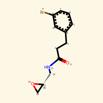 O=C(CCc1cccc(Br)c1)NC[C@@H]1CO1